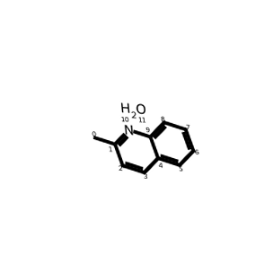 Cc1ccc2ccccc2n1.O